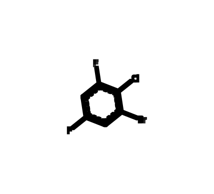 Fc1cc(F)c(Cl)c(Br)c1